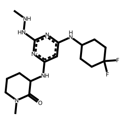 CNNc1nc(NC2CCC(F)(F)CC2)cc(NC2CCCN(C)C2=O)n1